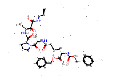 C=CCNC(=O)C(=O)[C@H](CCC)NC(=O)[C@@H]1CCCN1C(=O)[C@@H](NC(=O)CCC[C@H](NC(=O)OCc1ccccc1)C(=O)OCc1ccccc1)C(C)C